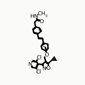 CNC(=O)Cc1ccc(C=CC23CCC(OCc4c(-c5c(Cl)cncc5Cl)noc4C4CC4)(CC2)CC3)cc1